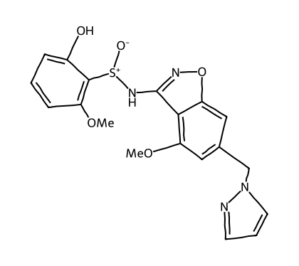 COc1cccc(O)c1[S+]([O-])Nc1noc2cc(Cn3cccn3)cc(OC)c12